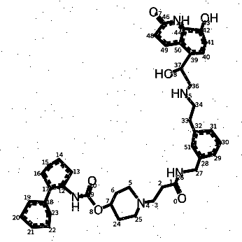 O=C(CCN1CCC(OC(=O)Nc2ccccc2-c2ccccc2)CC1)NCc1cccc(CCNCC(O)c2ccc(O)c3[nH]c(=O)ccc23)c1